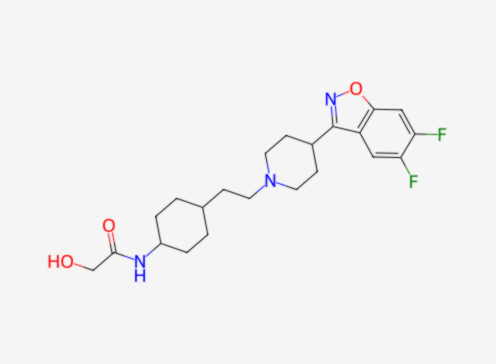 O=C(CO)NC1CCC(CCN2CCC(c3noc4cc(F)c(F)cc34)CC2)CC1